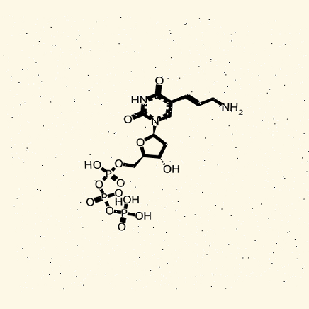 NC/C=C/c1cn([C@H]2C[C@H](O)[C@@H](COP(=O)(O)OP(=O)(O)OP(=O)(O)O)O2)c(=O)[nH]c1=O